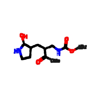 COC(=O)[C@H](CNC(=O)OC(C)(C)C)CC1CCN[C@H]1O